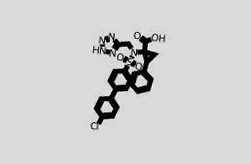 O=C(O)C1(N(Cc2nn[nH]n2)S(=O)(=O)c2ccc(-c3ccc(Cl)cc3)cc2)CC1c1ccccc1